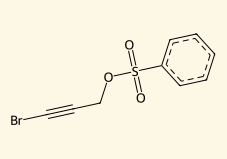 O=S(=O)(OCC#CBr)c1ccccc1